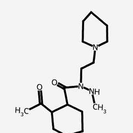 CNN(CCN1CCCCC1)C(=O)C1CCCCC1C(C)=O